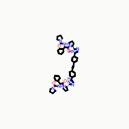 O=C(N[C@@H](C(=O)N1CCC[C@H]1c1ncc(-c2ccc(C#Cc3ccc(-c4cnc([C@@H]5CCCN5C(=O)[C@H](NC(=O)N5CCCC5)c5ccccc5)[nH]4)cc3)cc2)[nH]1)c1ccccc1)N1CCCC1